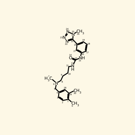 Cc1ccc(CN(C)CCCCNC(=O)Nc2cccc(-c3nnnn3C)c2)cc1C